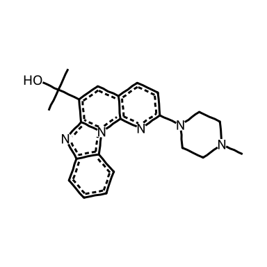 CN1CCN(c2ccc3cc(C(C)(C)O)c4nc5ccccc5n4c3n2)CC1